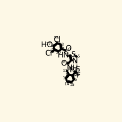 O=C(Nc1scnc1C(=O)NCc1ccccc1C(F)(F)F)c1cc(Cl)c(O)c(Cl)c1